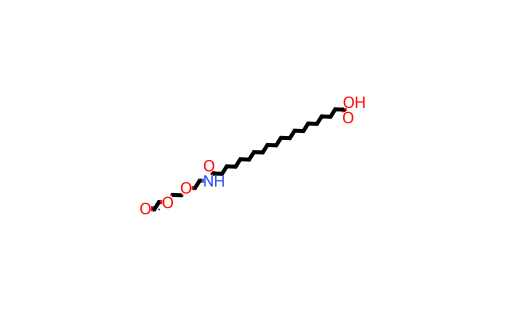 O=[C]COCCOCCNC(=O)CCCCCCCCCCCCCCCCCCC(=O)O